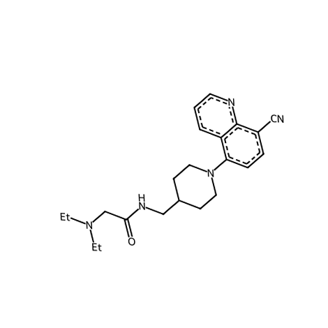 CCN(CC)CC(=O)NCC1CCN(c2ccc(C#N)c3ncccc23)CC1